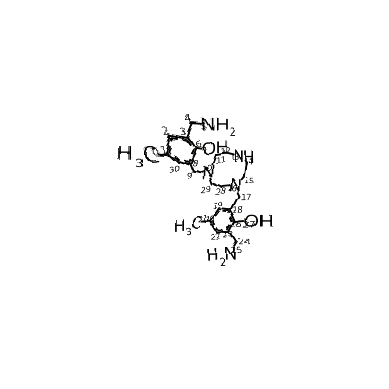 Cc1cc(CN)c(O)c(CN2CCNCCN(Cc3cc(C)cc(CN)c3O)CC2)c1